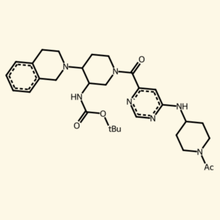 CC(=O)N1CCC(Nc2cc(C(=O)N3CCC(N4CCc5ccccc5C4)C(NC(=O)OC(C)(C)C)C3)ncn2)CC1